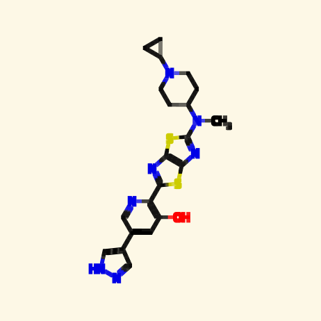 CN(c1nc2sc(-c3ncc(-c4cn[nH]c4)cc3O)nc2s1)C1CCN(C2CC2)CC1